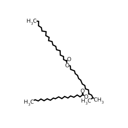 CCCCCCCCCCCCCCCCCC(=O)OCCCCCCCCCCCC(CC(C)C)OC(=O)CCCCCCCCCCCCCCCCC